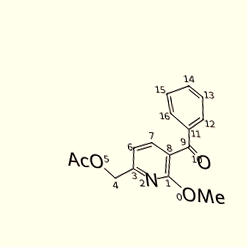 COc1nc(COC(C)=O)ccc1C(=O)c1ccccc1